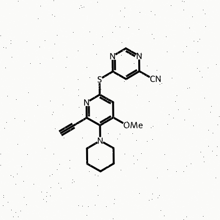 C#Cc1nc(Sc2cc(C#N)ncn2)cc(OC)c1N1CCCCC1